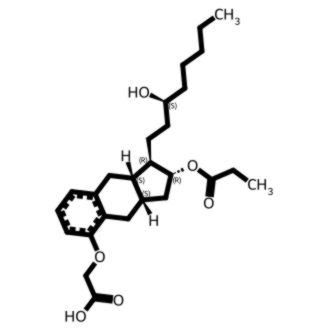 CCCCC[C@H](O)CC[C@@H]1[C@H]2Cc3cccc(OCC(=O)O)c3C[C@H]2C[C@H]1OC(=O)CC